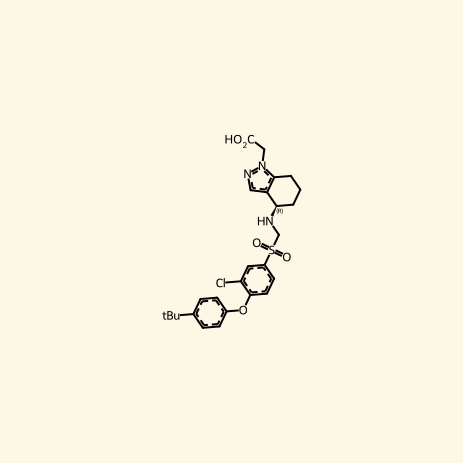 CC(C)(C)c1ccc(Oc2ccc(S(=O)(=O)CN[C@@H]3CCCc4c3cnn4CC(=O)O)cc2Cl)cc1